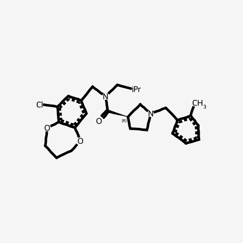 Cc1ccccc1CN1CC[C@@H](C(=O)N(Cc2cc(Cl)c3c(c2)OCCCO3)CC(C)C)C1